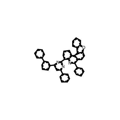 c1ccc(-c2cccc(-c3cc(-c4ccccc4)nc(-c4cccc5c4nc(-c4ccccc4)c4ccc6oc7ccccc7c6c45)n3)c2)cc1